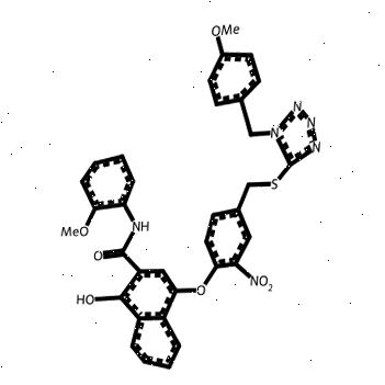 COc1ccc(Cn2nnnc2SCc2ccc(Oc3cc(C(=O)Nc4ccccc4OC)c(O)c4ccccc34)c([N+](=O)[O-])c2)cc1